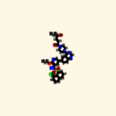 COc1ncc(-c2ccc3ncnc(N4CCN(C(=O)C=CC(C)=O)CC4)c3c2)cc1NS(=O)(=O)c1cccc2cccc(Cl)c12